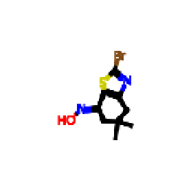 CC1(C)CC(=NO)c2sc(Br)nc2C1